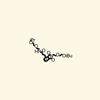 CC(C)COCCOCCN1C(=O)C2C3C=CC(CCC(=O)NCCOCCOC(C)C)(O3)C2C1=O